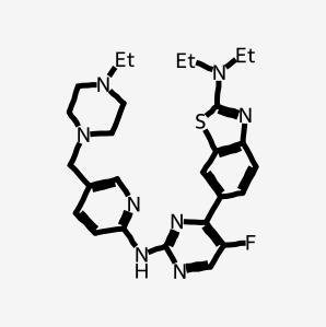 CCN1CCN(Cc2ccc(Nc3ncc(F)c(-c4ccc5nc(N(CC)CC)sc5c4)n3)nc2)CC1